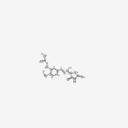 COC(=O)COc1cc(/C=C/C(C)=C2/SC(=S)NC2=O)ccc1OC